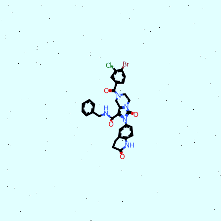 O=C1CCc2cc(-n3c(C(=O)NCc4ccccc4)c4n(c3=O)CCN(C(=O)c3ccc(Br)c(Cl)c3)C4)ccc2N1